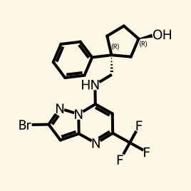 O[C@@H]1CC[C@](CNc2cc(C(F)(F)F)nc3cc(Br)nn23)(c2ccccc2)C1